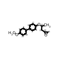 COc1ccc(-c2ccc(OC(C)CC3CO3)cc2)cc1